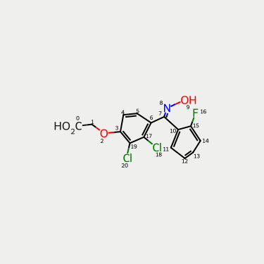 O=C(O)COc1ccc(C(=NO)c2ccccc2F)c(Cl)c1Cl